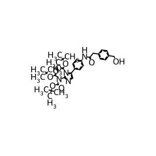 CC(C)(C)OC(=O)N(C(=O)OC(C)(C)C)c1ncc(-c2ccc(NC(=O)Cc3ccc(CO)cc3)cc2)n1C(=O)OC(C)(C)C